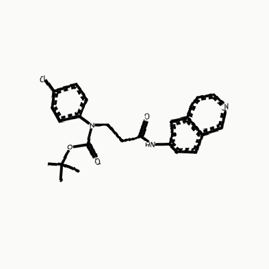 CC(C)(C)OC(=O)N(CCC(=O)Nc1ccc2cnccc2c1)c1ccc(Cl)cc1